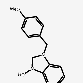 COc1ccc(CN2CN(O)c3ccccc32)cc1